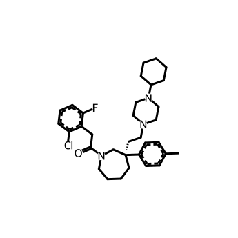 Cc1ccc([C@@]2(CCN3CCN(C4CCCCC4)CC3)CCCCN(C(=O)Cc3c(F)cccc3Cl)C2)cc1